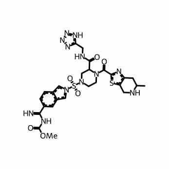 COC(=O)NC(=N)c1ccc2cn(S(=O)(=O)N3CCN(C(=O)c4nc5c(s4)CNC(C)C5)C(C(=O)NCc4nnn[nH]4)C3)cc2c1